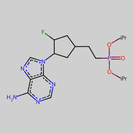 CC(C)OP(=O)(CCC1CC(F)C(n2cnc3c(N)ncnc32)C1)OC(C)C